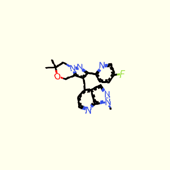 Cn1ncc2c(-c3c(-c4ccc(F)cn4)nn4c3COC(C)(C)C4)ccnc21